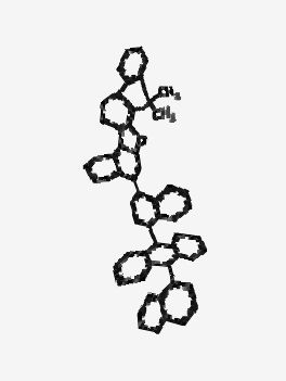 CC1(C)c2ccccc2-c2ccc3c(oc4cc(-c5ccc(-c6c7ccccc7c(-c7cccc8ccccc78)c7ccccc67)c6ccccc56)c5ccccc5c43)c21